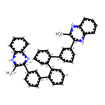 Cc1nc2ccccc2nc1-c1cccc(-c2ccccc2-c2ccccc2-c2cccc(-c3nc4ccccc4nc3C)c2)c1